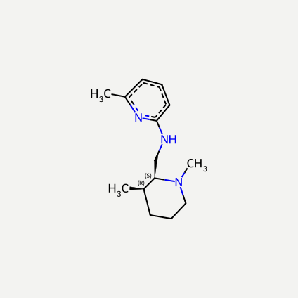 Cc1cccc(NC[C@@H]2[C@H](C)CCCN2C)n1